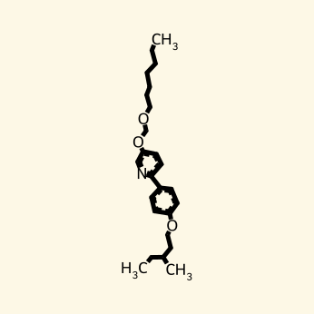 CCCCCCCOCOc1ccc(-c2ccc(OCCC(C)CC)cc2)nc1